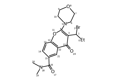 CCC(Br)c1c(N2CCOCC2)oc2ccc(C(=O)N(C)C)cc2c1=O